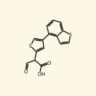 O=CC(C(=O)O)c1cc(-c2cccc3sccc23)cs1